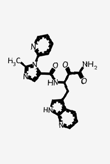 Cc1ncc(C(=O)NC(Cc2c[nH]c3ncccc23)C(=O)C(N)=O)n1-c1ccccn1